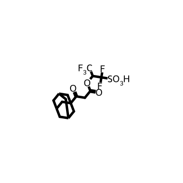 O=C(CC(=O)C12CC3CC(CC(C3)C1)C2)OC(C(F)(F)F)C(F)(F)S(=O)(=O)O